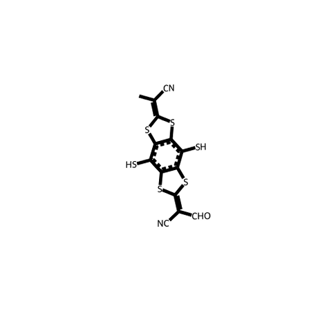 CC(C#N)=C1Sc2c(S)c3c(c(S)c2S1)SC(=C(C#N)C=O)S3